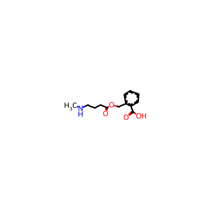 CNCCCC(=O)OCc1ccccc1C(=O)O